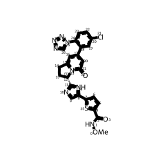 CONC(=O)c1ccc(-c2cnc([C@@H]3CCc4cc(-c5cc(Cl)ccc5-n5cnnn5)cc(=O)n43)[nH]2)s1